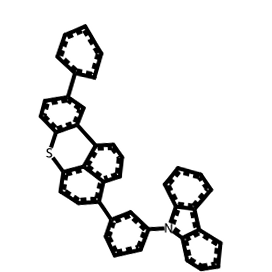 c1ccc(-c2ccc3c(c2)-c2cccc4c(-c5cccc(-n6c7ccccc7c7ccccc76)c5)ccc(c24)S3)cc1